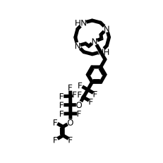 FC(F)=C(F)OC(F)(F)C(F)(OC(F)(F)C(F)(F)c1ccc(CN2CCN3CCNCCN(CCNCC3)CC2)cc1)C(F)(F)F